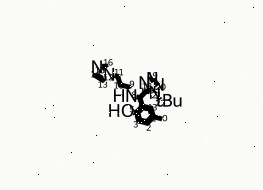 Cc1ccc(O)c(C(NCCCn2ccnc2)c2nnnn2C(C)(C)C)c1